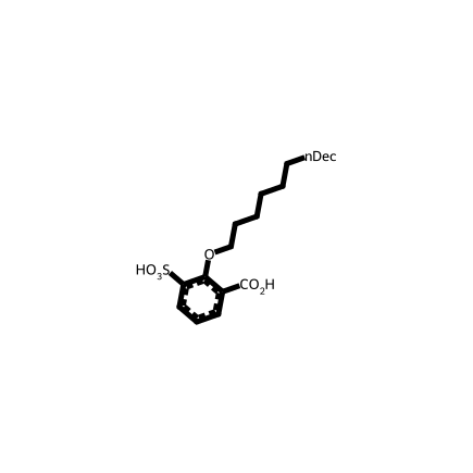 CCCCCCCCCCCCCCCCOc1c(C(=O)O)cccc1S(=O)(=O)O